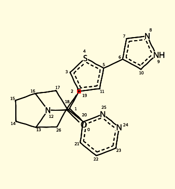 O=C(c1csc(-c2cn[nH]c2)c1)N1C2CCC1CC(F)(c1cccnn1)C2